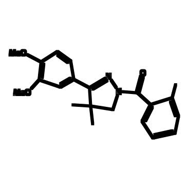 COc1ccc(C2=NN(C(=O)c3ccccc3C)CC2(C)C)cc1OC